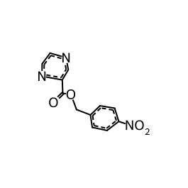 O=C(OCc1ccc([N+](=O)[O-])cc1)c1cnccn1